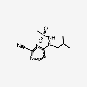 CC(C)CN(NS(C)(=O)=O)c1ccnc(C#N)n1